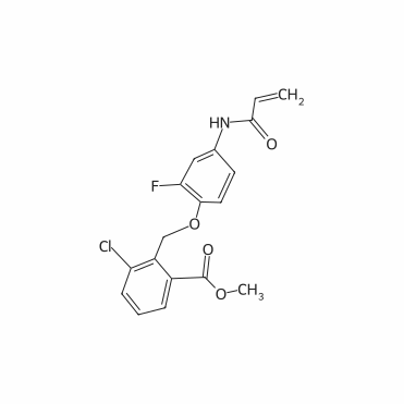 C=CC(=O)Nc1ccc(OCc2c(Cl)cccc2C(=O)OC)c(F)c1